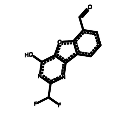 O=Cc1cccc2c1oc1c(O)nc(C(F)F)nc12